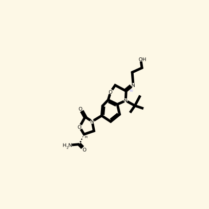 CC(C)(C)N1/C(=N/CCO)COc2cc(N3C[C@H](C(N)=O)OC3=O)ccc21